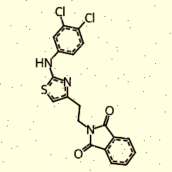 O=C1c2ccccc2C(=O)N1CCc1csc(Nc2ccc(Cl)c(Cl)c2)n1